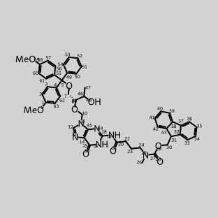 COc1ccc(C(OC[C@@H](OCn2cnc3c(=O)[nH]c(NC(=O)CCCN(C)C(=O)OCC4c5ccccc5-c5ccccc54)nc32)C(C)O)(c2ccccc2)c2ccc(OC)cc2)cc1